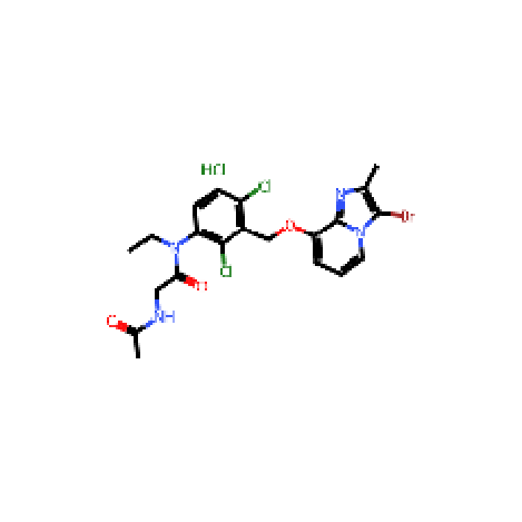 CCN(C(=O)CNC(C)=O)c1ccc(Cl)c(COc2cccn3c(Br)c(C)nc23)c1Cl.Cl